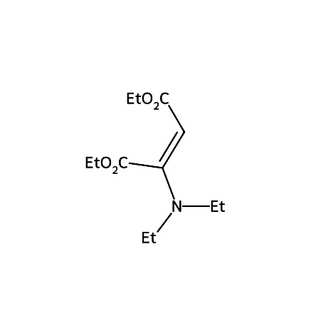 CCOC(=O)/C=C(\C(=O)OCC)N(CC)CC